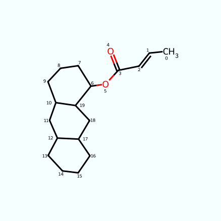 CC=CC(=O)OC1CCCC2CC3CCCCC3CC21